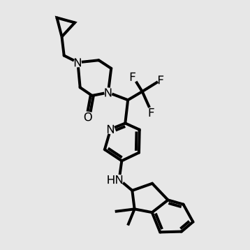 CC1(C)c2ccccc2CC1Nc1ccc(C(N2CCN(CC3CC3)CC2=O)C(F)(F)F)nc1